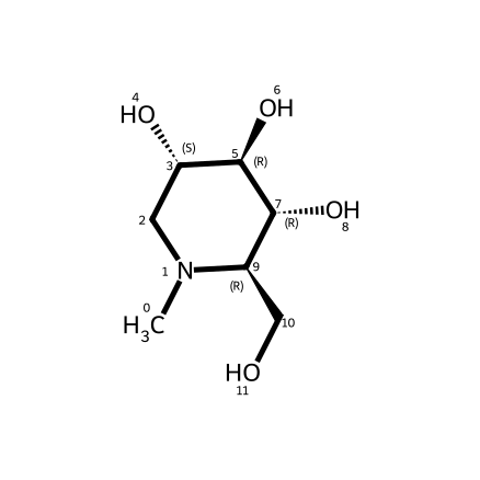 CN1C[C@H](O)[C@@H](O)[C@H](O)[C@H]1CO